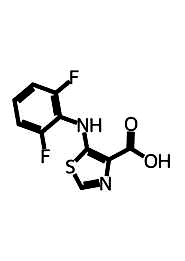 O=C(O)c1ncsc1Nc1c(F)cccc1F